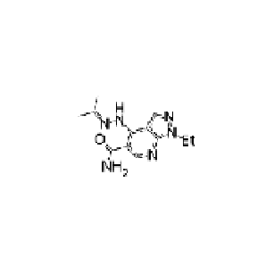 CCn1ncc2c(NN=C(C)C)c(C(N)=O)cnc21